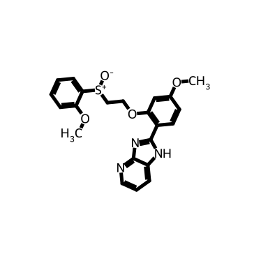 COc1ccc(-c2nc3ncccc3[nH]2)c(OCC[S+]([O-])c2ccccc2OC)c1